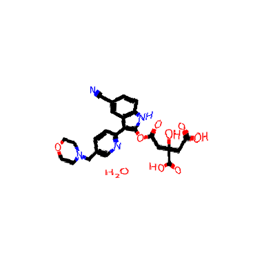 N#Cc1ccc2[nH]c(OC(=O)CC(O)(CC(=O)O)C(=O)O)c(-c3ccc(CN4CCOCC4)cn3)c2c1.O